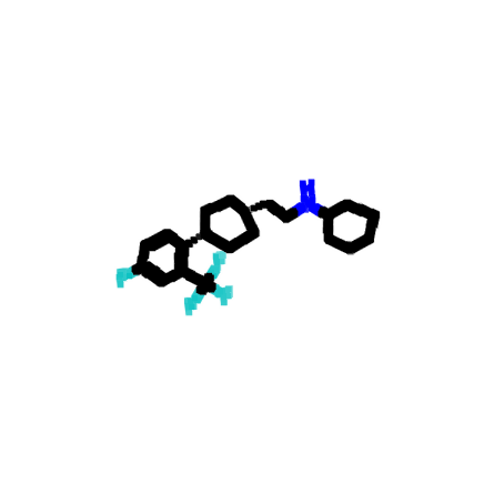 Fc1ccc([C@H]2CC[C@@H](CCNC3CCCCC3)CC2)c(C(F)(F)F)c1